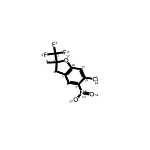 CC1(C(F)(F)F)Cc2cc([N+](=O)[O-])c(Cl)cc2O1